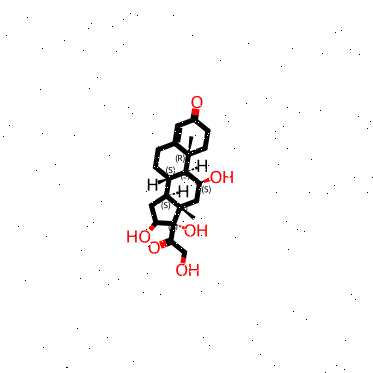 C[C@]12CCC(=O)C=C1CC[C@@H]1[C@@H]2[C@@H](O)C[C@@]2(C)[C@H]1CC(O)[C@]2(O)C(=O)CO